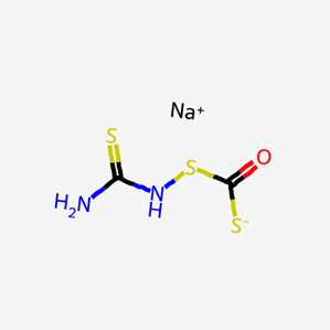 NC(=S)NSC(=O)[S-].[Na+]